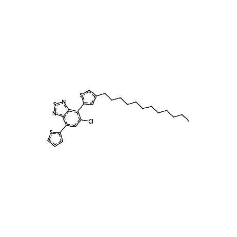 CCCCCCCCCCCCc1csc(-c2c(Cl)cc(-c3cccs3)c3nsnc23)c1